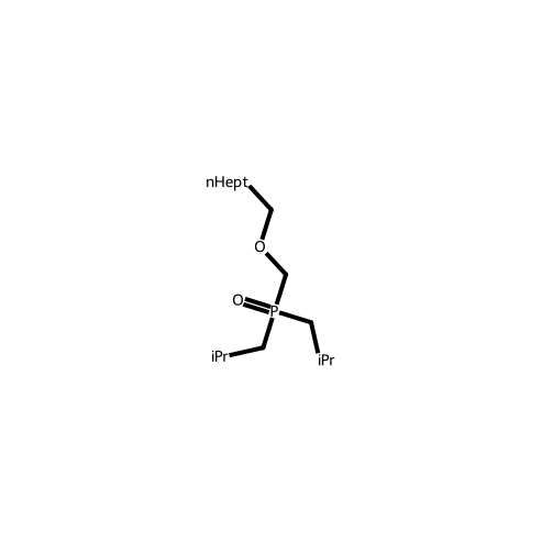 CCCCCCCCOCP(=O)(CC(C)C)CC(C)C